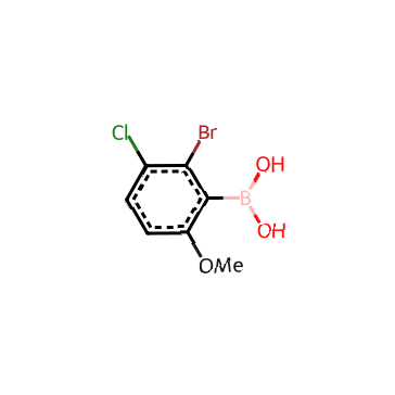 COc1ccc(Cl)c(Br)c1B(O)O